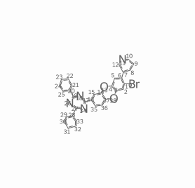 Brc1cc2c(cc1-c1cccnc1)Oc1cc(-c3nc(-c4ccccc4)nc(-c4ccccc4)n3)ccc1O2